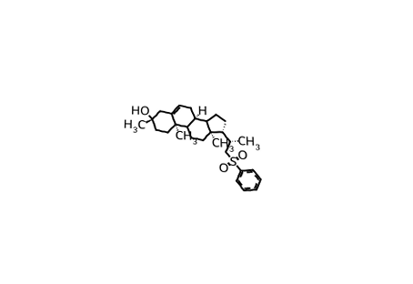 C[C@H](CS(=O)(=O)c1ccccc1)[C@H]1CCC2[C@@H]3CC=C4C[C@@](C)(O)CC[C@]4(C)C3CC[C@@]21C